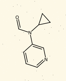 O=CN(c1[c]ccnc1)C1CC1